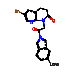 COc1ccc2cn(C(=O)CN3C(=O)CCc4cc(Br)cnc43)cc2c1